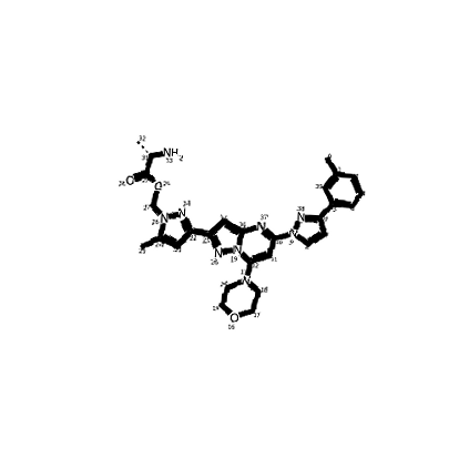 Cc1cccc(-c2ccn(-c3cc(N4CCOCC4)n4nc(-c5cc(C)n(COC(=O)[C@H](C)N)n5)cc4n3)n2)c1